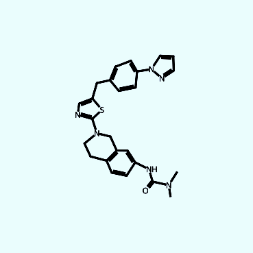 CN(C)C(=O)Nc1ccc2c(c1)CN(c1ncc(Cc3ccc(-n4cccn4)cc3)s1)CC2